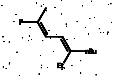 CCCC/C(=C/C=C(\C)F)CC